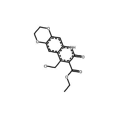 CCOC(=O)c1c(CCl)c2cc3c(cc2[nH]c1=O)OCCO3